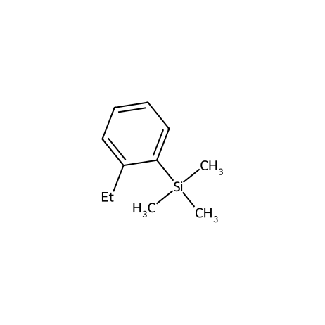 CCc1ccccc1[Si](C)(C)C